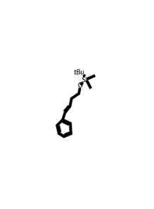 CC(C)(C)[Si](C)(C)OCC/C=C/c1ccccc1